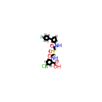 O=C(C[S+]([O-])CC(=O)Nc1ccc(Cl)cc1C(=O)O)Nc1cccc(-c2ccc(F)cc2)c1